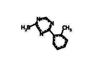 Bc1ncnc(-c2ccccc2C)n1